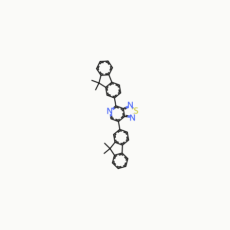 CC1(C)c2ccccc2-c2ccc(-c3cnc(-c4ccc5c(c4)C(C)(C)c4ccccc4-5)c4nsnc34)cc21